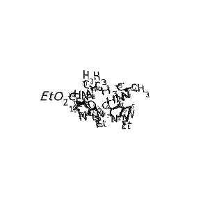 CCOC(=O)c1cnc2c(cnn2CC)c1NN=C(C)C.CCOC(=O)c1cnc2c(cnn2CC)c1NN=C(C)C